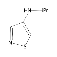 CC(C)Nc1cnsc1